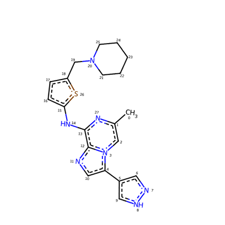 Cc1cn2c(-c3cn[nH]c3)cnc2c(Nc2ccc(CN3CCCCC3)s2)n1